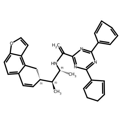 C=C(N[C@H](C)[C@@H](C)[C@@H]1C=Cc2ccc3occc3c2C1)c1nc(C2=CCCC=C2)nc(-c2ccccc2)n1